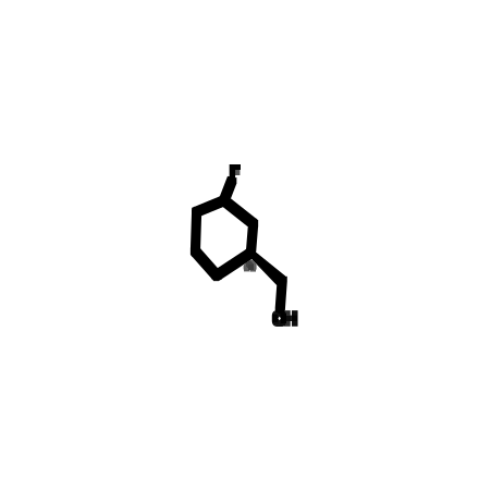 OC[C@H]1CCCC(F)C1